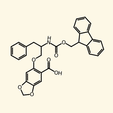 O=C(NC(COc1cc2c(cc1C(=O)O)OCO2)Cc1ccccc1)OCC1c2ccccc2-c2ccccc21